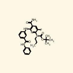 CCCN(C(=O)OC(C)(C)C)c1nc(Nc2cccc(C(=O)Nc3ccccc3)c2)c(C(N)=O)cc1F